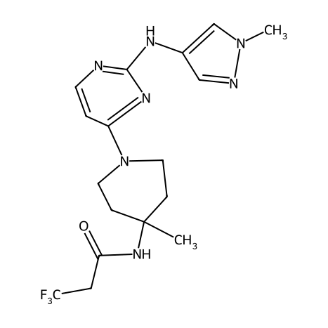 Cn1cc(Nc2nccc(N3CCC(C)(NC(=O)CC(F)(F)F)CC3)n2)cn1